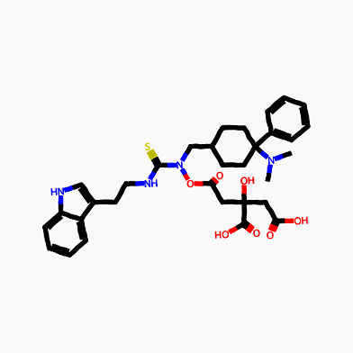 CN(C)C1(c2ccccc2)CCC(CN(OC(=O)CC(O)(CC(=O)O)C(=O)O)C(=S)NCCc2c[nH]c3ccccc23)CC1